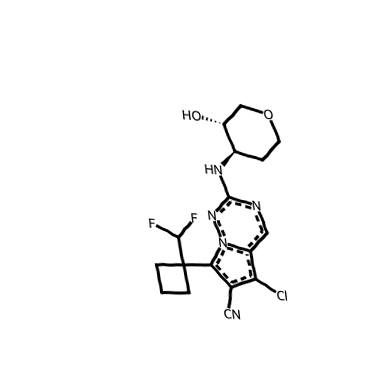 N#Cc1c(Cl)c2cnc(N[C@@H]3CCOC[C@H]3O)nn2c1C1(C(F)F)CCC1